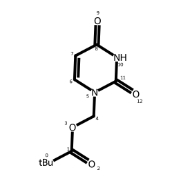 CC(C)(C)C(=O)OCn1ccc(=O)[nH]c1=O